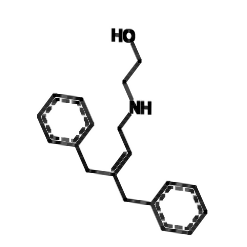 OCCNCC=C(Cc1ccccc1)Cc1ccccc1